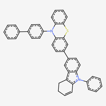 C1=Cc2c(c3cc(-c4ccc5c(c4)Sc4ccccc4N5c4ccc(-c5ccccc5)cc4)ccc3n2-c2ccccc2)CC1